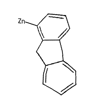 [Zn][c]1cccc2c1Cc1ccccc1-2